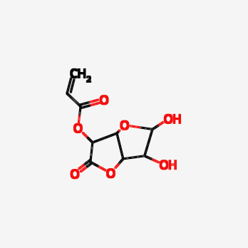 C=CC(=O)OC1C(=O)OC2C(O)C(O)OC12